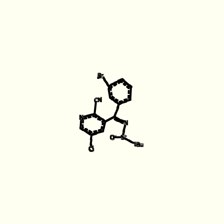 CC(C)(C)[S+]([O-])N=C(c1cccc(Br)c1)c1cc(Cl)cnc1C#N